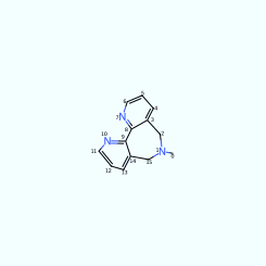 CN1Cc2cccnc2-c2ncccc2C1